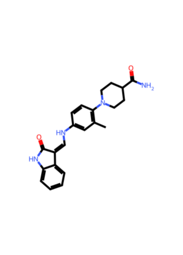 Cc1cc(N/C=C2\C(=O)Nc3ccccc32)ccc1N1CCC(C(N)=O)CC1